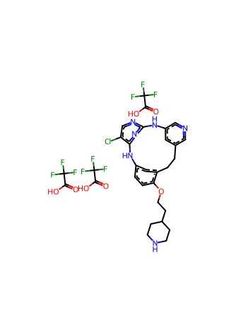 Clc1cnc2nc1Nc1ccc(OCCC3CCNCC3)c(c1)CCc1cncc(c1)N2.O=C(O)C(F)(F)F.O=C(O)C(F)(F)F.O=C(O)C(F)(F)F